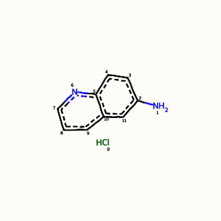 Cl.Nc1ccc2ncccc2c1